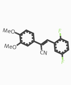 COc1ccc(C(C#N)=Cc2cc(F)ccc2F)cc1OC